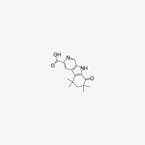 CC1(C)CC(C)(C)c2c([nH]c3cnc(C(=O)O)cc23)C1=O